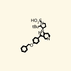 CC(C)(C)C1C(n2nc(-c3ccc(OCc4ccccc4)cc3)c3cnccc32)CCN1C(=O)O